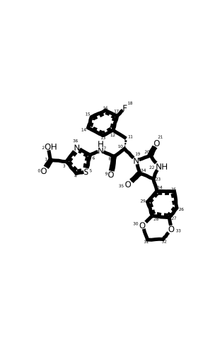 O=C(O)c1csc(NC(=O)[C@H](Cc2ccccc2F)N2C(=O)NC(c3ccc4c(c3)OCCO4)C2=O)n1